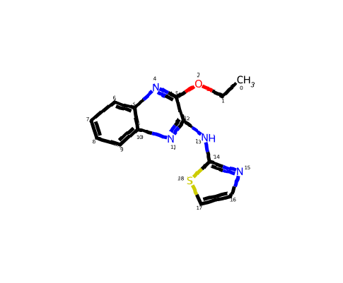 CCOc1nc2ccccc2nc1Nc1nccs1